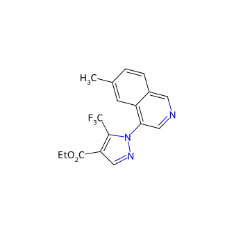 CCOC(=O)c1cnn(-c2cncc3ccc(C)cc23)c1C(F)(F)F